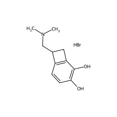 Br.CN(C)CC1Cc2c1ccc(O)c2O